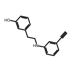 C#Cc1cccc(NCCc2cccc(O)c2)c1